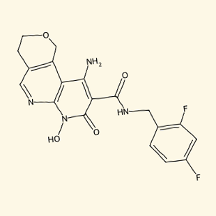 Nc1c(C(=O)NCc2ccc(F)cc2F)c(=O)n(O)c2ncc3c(c12)COCC3